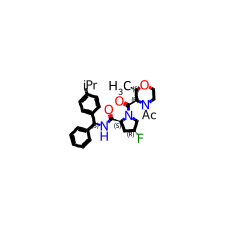 CC(=O)N1CCO[C@@H](C)[C@@H]1C(=O)N1C[C@H](F)C[C@H]1C(=O)N[C@@H](c1ccccc1)c1ccc(C(C)C)cc1